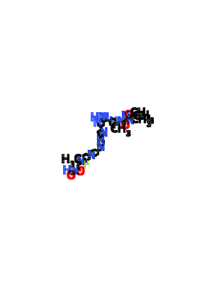 Cc1cc(-c2n[nH]c3ncc(-c4ccc(N5CCN(CC6CCN(c7ccc(N(C)CCC(=O)NC=O)c(F)c7)CC6)CC5)cn4)cc23)ccc1CNC(=O)c1noc(C(C)(C)C)n1